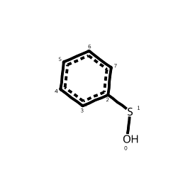 OSc1[c]cccc1